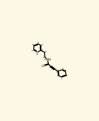 O=C(C#Cc1ccccc1)NCCc1ccccn1